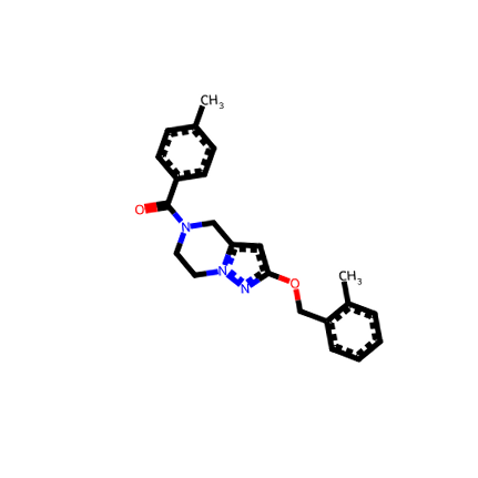 Cc1ccc(C(=O)N2CCn3nc(OCc4ccccc4C)cc3C2)cc1